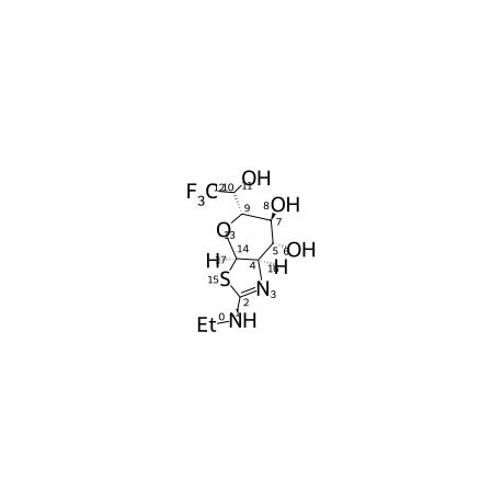 CCNC1=N[C@@H]2[C@@H](O)[C@H](O)[C@@H](C(O)C(F)(F)F)O[C@@H]2S1